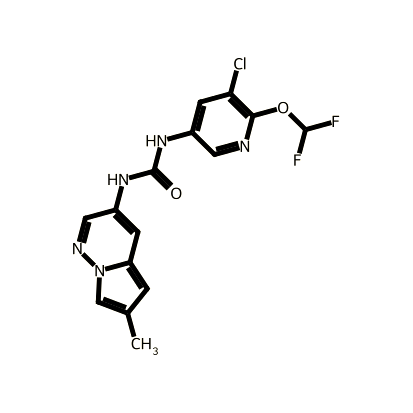 Cc1cc2cc(NC(=O)Nc3cnc(OC(F)F)c(Cl)c3)cnn2c1